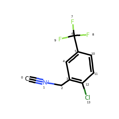 [C-]#[N+]Cc1cc(C(F)(F)F)ccc1Cl